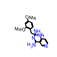 COc1ccc(CC2(N)N=C(N)c3cnccc3N2)c(OC)c1